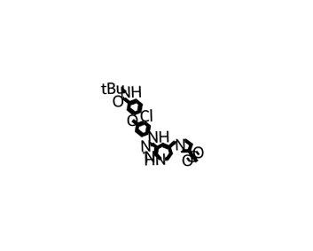 CC(C)(C)NC(=O)c1cccc(Oc2ccc(Nc3ncnc4c3C=C(CN3CCC(S(C)(=O)=O)C3)CCN4)cc2Cl)c1